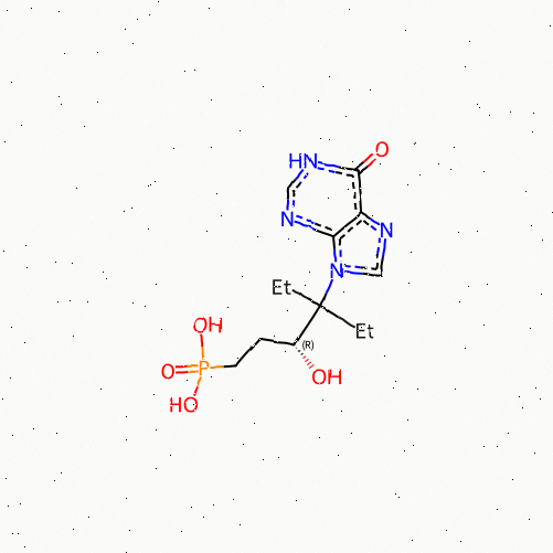 CCC(CC)([C@H](O)CCP(=O)(O)O)n1cnc2c(=O)[nH]cnc21